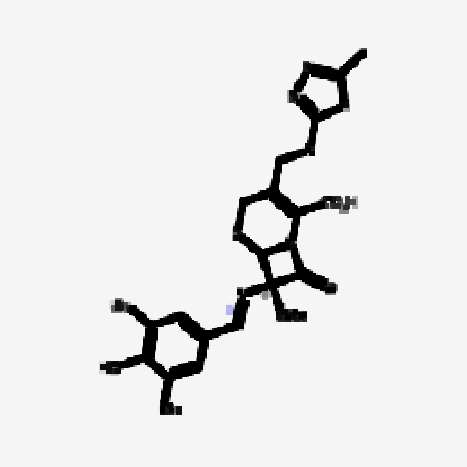 CO[C@]1(/N=C/c2cc(C(C)(C)C)c(O)c(C(C)(C)C)c2)C(=O)N2C(C(=O)O)=C(CSc3nnc(C)s3)CSC21